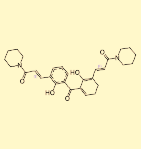 O=C(C1=CCCC(/C=C/C(=O)N2CCCCC2)=C1O)c1cccc(/C=C/C(=O)N2CCCCC2)c1O